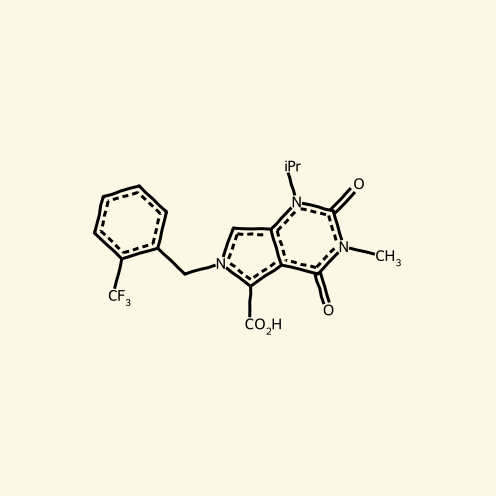 CC(C)n1c(=O)n(C)c(=O)c2c(C(=O)O)n(Cc3ccccc3C(F)(F)F)cc21